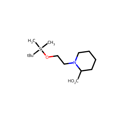 CC(C)(C)[Si](C)(C)OCCN1CCCCC1C(=O)O